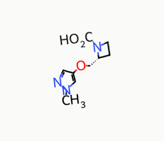 Cn1cc(OC[C@H]2CCN2C(=O)O)cn1